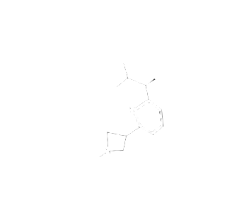 CC(C)[C@@H](C)c1cccc(C2CN(C)C2)n1